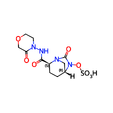 O=C(NN1CCOCC1=O)[C@@H]1CC[C@@H]2CN1C(=O)N2OS(=O)(=O)O